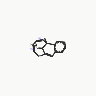 CC12/C=C\C=C/SC(=Cc3ccccc31)C2NO